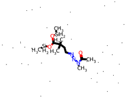 C[SiH2]OC(O[SiH2]C)C(C)(C)CCN=NN(C)C(C)=O